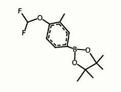 Cc1cc(B2OC(C)(C)C(C)(C)O2)ccc1OC(F)F